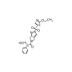 CCOc1ncc(S(=O)(=O)n2cc3c(n2)CN(C(=O)[C@H](CO)c2ccccc2)C3)s1